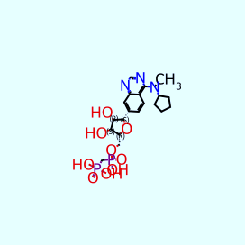 CN(c1ncnc2cc([C@@H]3O[C@H](COP(=O)(O)CP(=O)(O)O)[C@@H](O)[C@H]3O)ccc12)C1CCCC1